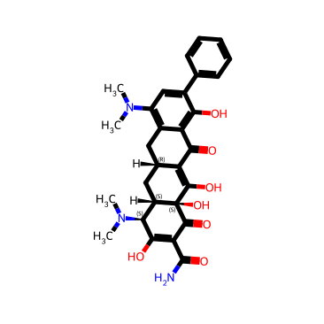 CN(C)c1cc(-c2ccccc2)c(O)c2c1C[C@H]1C[C@H]3[C@H](N(C)C)C(O)=C(C(N)=O)C(=O)[C@@]3(O)C(O)=C1C2=O